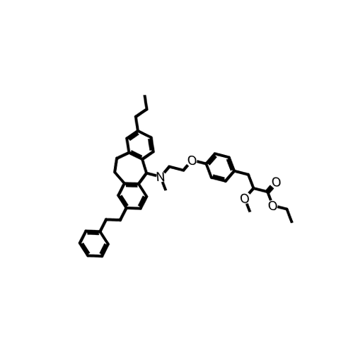 CCCc1ccc2c(c1)CCc1cc(CCc3ccccc3)ccc1C2N(C)CCOc1ccc(CC(OC)C(=O)OCC)cc1